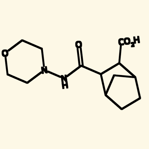 O=C(O)C1C2CCC(C2)C1C(=O)NN1CCOCC1